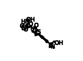 CN1C[C@@H](C#CC#Cc2cc3c(s2)C(=O)N(CC[C@](C)(C(=O)NO)S(C)(=O)=O)C3)[C@@H]1CO